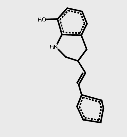 Oc1cccc2c1NCC(C=Cc1ccccc1)C2